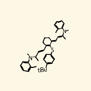 C/C(=C\C=C1/CCCC(/C=C/C(C)=[N+](\C)c2ccccc2C)=C1Sc1ccc(C(C)(C)C)cc1)N(C)c1ccccc1C